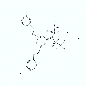 O=S(=O)(C(=C1C=C(SCc2ccccc2)SC(SCc2ccccc2)=C1)S(=O)(=O)C(F)(F)F)C(F)(F)F